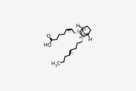 CCC/C=C/CCC[C@@H]1[C@H](C/C=C\CCCC(=O)O)[C@@H]2CC[C@H]1O2